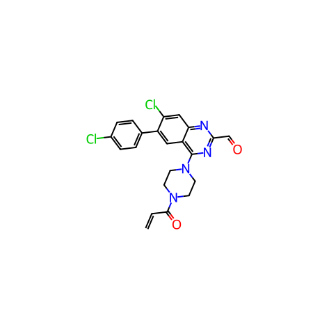 C=CC(=O)N1CCN(c2nc(C=O)nc3cc(Cl)c(-c4ccc(Cl)cc4)cc23)CC1